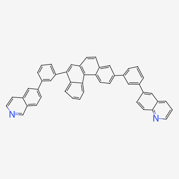 c1cc(-c2ccc3ncccc3c2)cc(-c2ccc3c(ccc4cc(-c5cccc(-c6ccc7cnccc7c6)c5)c5ccccc5c43)c2)c1